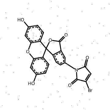 O=C1OC2(c3ccc(O)cc3Oc3cc(O)ccc32)c2ccc(N3C(=O)C=C(Br)C3=O)cc21